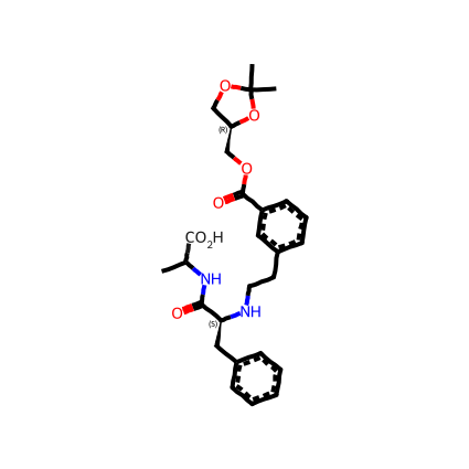 CC(NC(=O)[C@H](Cc1ccccc1)NCCc1cccc(C(=O)OC[C@H]2COC(C)(C)O2)c1)C(=O)O